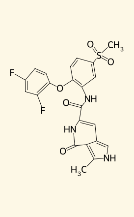 Cc1[nH]cc2cc(C(=O)Nc3cc(S(C)(=O)=O)ccc3Oc3ccc(F)cc3F)[nH]c(=O)c12